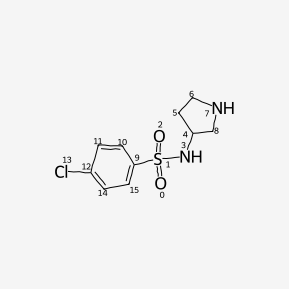 O=S(=O)(NC1CCNC1)c1ccc(Cl)cc1